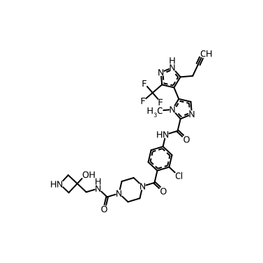 C#CCc1[nH]nc(C(F)(F)F)c1-c1cnc(C(=O)Nc2ccc(C(=O)N3CCN(C(=O)NCC4(O)CNC4)CC3)c(Cl)c2)n1C